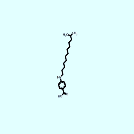 CC(C)CCCCCCCCCCCNc1ccc(C(=O)O)cc1